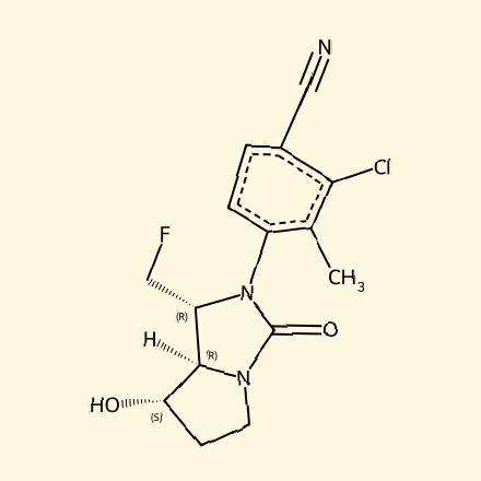 Cc1c(N2C(=O)N3CC[C@H](O)[C@H]3[C@@H]2CF)ccc(C#N)c1Cl